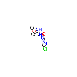 C[C@H](NC(=O)C1(c2ccccc2)CCN(C(=O)N2CCN(c3ccc(Cl)cn3)CC2)CC1)c1ccccc1